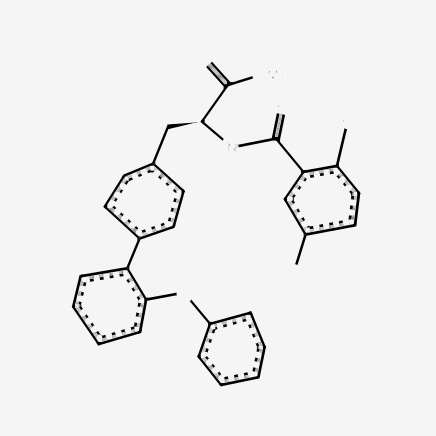 COC(=O)[C@H](Cc1ccc(-c2ccccc2Oc2ccccc2)cc1)NC(=O)c1cc(Cl)ccc1O